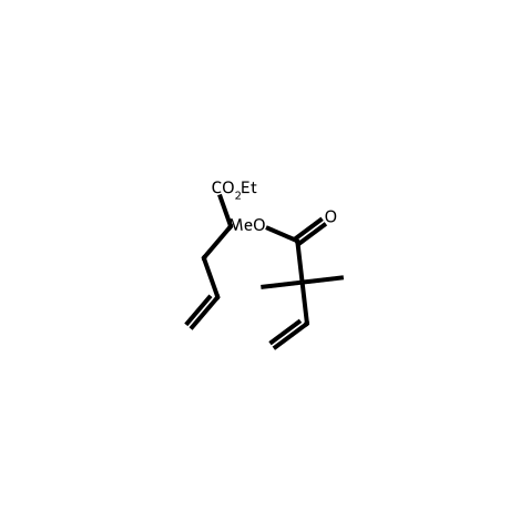 C=CC(C)(C)C(=O)OC.C=CCCC(=O)OCC